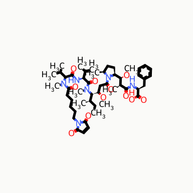 CC[C@H](C)[C@@H](C(CC(=O)N1[C@@H](C)CC[C@H]1[C@H](OC)[C@@H](C)C(=O)N[C@@H](Cc1ccccc1)C(=O)O)OC)N(C)C(=O)[C@@H](NC(=O)C(C(C)C)N(C)C(=O)CCCCCN1C(=O)C=CC1=O)C(C)C